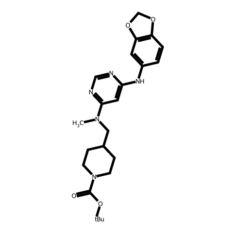 CN(CC1CCN(C(=O)OC(C)(C)C)CC1)c1cc(Nc2ccc3c(c2)OCO3)ncn1